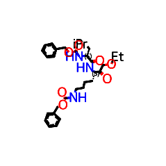 CCOCC(=O)[C@H](CCCCNC(=O)OCc1ccccc1)NC(=O)[C@H](CC(C)C)NC(=O)OCc1ccccc1